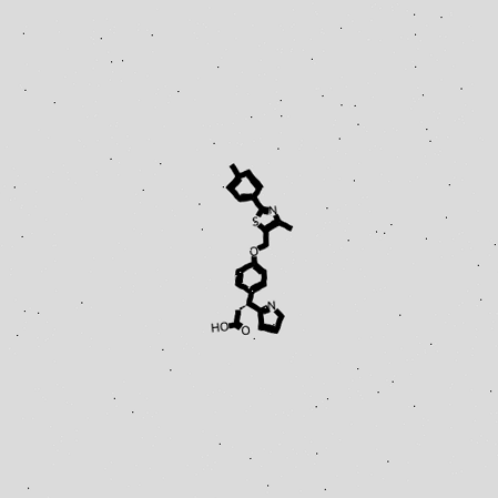 Cc1ccc(-c2nc(C)c(COc3ccc([C@@H](CC(=O)O)C4=NCC=C4)cc3)s2)cc1